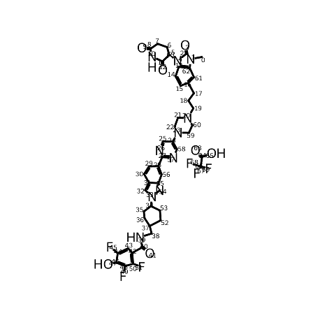 Cn1c(=O)n([C@@H]2CCC(=O)NC2=O)c2ccc(CCCN3CCN(c4cnc(-c5ccc6cn(C7CCC(CNC(=O)c8cc(F)c(O)c(F)c8F)CC7)nc6c5)nc4)CC3)cc21.O=C(O)C(F)(F)F